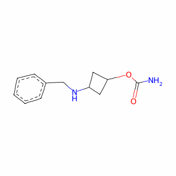 NC(=O)OC1CC(NCc2ccccc2)C1